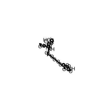 C=CC(=O)N1CCN(c2nc(NCCC(=O)N(C)CCOCCOCCOCCOc3ccc4c(c3)C(=O)N(C3CCC(=O)NC3=O)C4=O)nc3c(F)c(C4=C(F)C=C[C@H](C)[C@@H]4O)c(Cl)cc23)CC1